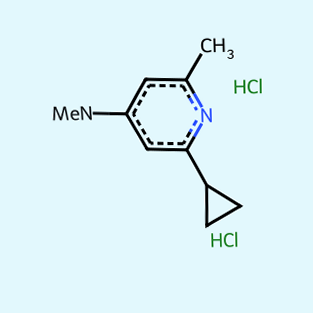 CNc1cc(C)nc(C2CC2)c1.Cl.Cl